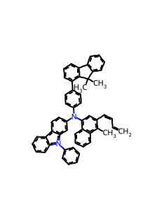 C=C/C=C\c1cc(N(c2ccc(-c3cccc4c3C(C)(C)c3ccccc3-4)cc2)c2ccc3c4ccccc4n(-c4ccccc4)c3c2)c2ccccc2c1C